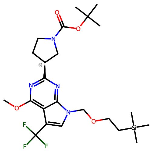 COc1nc([C@H]2CCN(C(=O)OC(C)(C)C)C2)nc2c1c(C(F)(F)F)cn2COCC[Si](C)(C)C